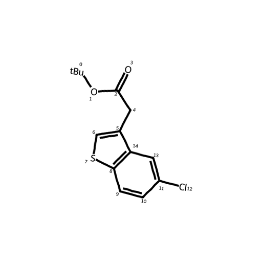 CC(C)(C)OC(=O)Cc1csc2ccc(Cl)cc12